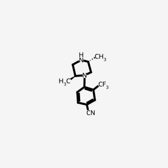 C[C@@H]1CN(c2ccc(C#N)cc2C(F)(F)F)[C@@H](C)CN1